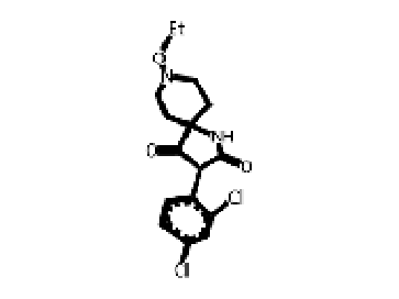 CCON1CCC2(CC1)NC(=O)C(c1ccc(Cl)cc1Cl)C2=O